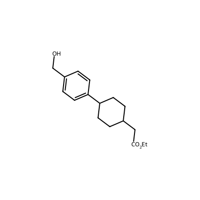 CCOC(=O)CC1CCC(c2ccc(CO)cc2)CC1